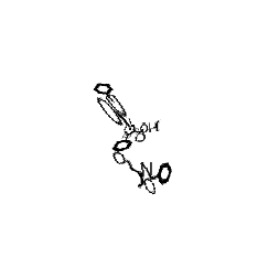 Cc1oc(-c2ccccc2)nc1CCOc1ccc([C@H]2CN(C(=O)Oc3ccccc3)C[C@H]2C(=O)O)cc1